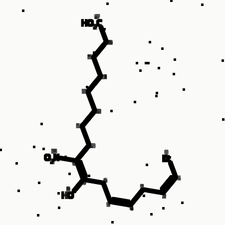 CC/C=C\C/C=C\C/C(O)=C(\CCCCCCCC(=O)O)[N+](=O)[O-]